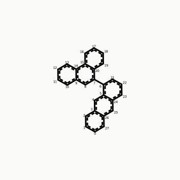 c1ccc2cc3c(-c4cc5ccccc5c5ccccc45)cccc3cc2c1